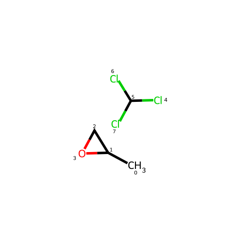 CC1CO1.ClC(Cl)Cl